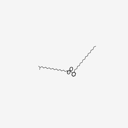 CCCCCCCCCCCCCCCCc1ccccc1C(=O)OCCCCCCCCCCCCCCCC(C)C